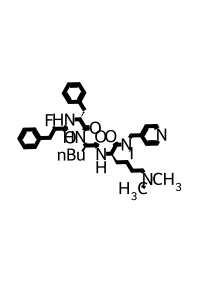 CCCC[C@@H](NC(=O)[C@@H](Cc1ccccc1)NC(=O)[C@H](F)Cc1ccccc1)C(=O)N[C@H](CCCCN(C)C)C(=O)N(I)Cc1ccncc1